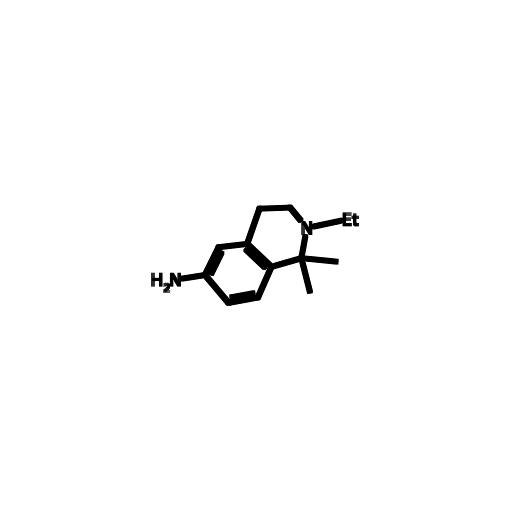 CCN1CCc2cc(N)ccc2C1(C)C